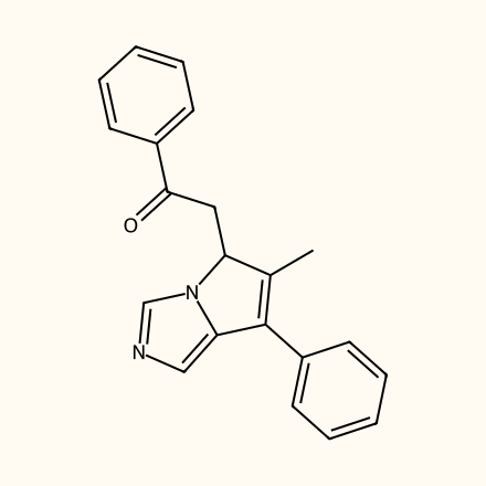 CC1=C(c2ccccc2)c2cncn2C1CC(=O)c1ccccc1